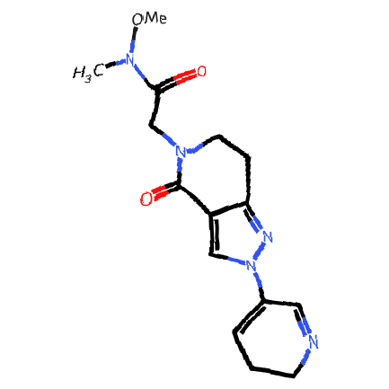 CON(C)C(=O)CN1CCc2nn(C3=CCCN=C3)cc2C1=O